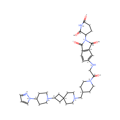 O=C1CCC(N2C(=O)c3ccc(NCC(=O)N4CCC(CN5CCC6(CC5)CC(N5CCC(n7cccn7)CC5)C6)CC4)cc3C2=O)C(=O)N1